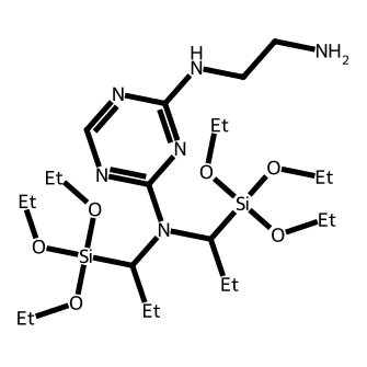 CCO[Si](OCC)(OCC)C(CC)N(c1ncnc(NCCN)n1)C(CC)[Si](OCC)(OCC)OCC